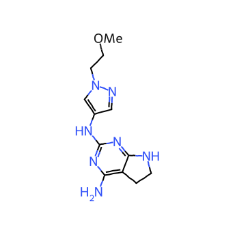 COCCn1cc(Nc2nc(N)c3c(n2)NCC3)cn1